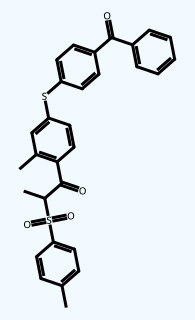 Cc1ccc(S(=O)(=O)C(C)C(=O)c2ccc(Sc3ccc(C(=O)c4ccccc4)cc3)cc2C)cc1